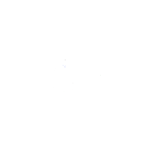 CN(C)C=C(C(=O)c1ccc(Cl)cc1)c1ccccc1Cl